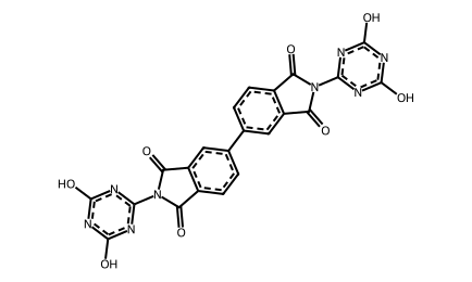 O=C1c2ccc(-c3ccc4c(c3)C(=O)N(c3nc(O)nc(O)n3)C4=O)cc2C(=O)N1c1nc(O)nc(O)n1